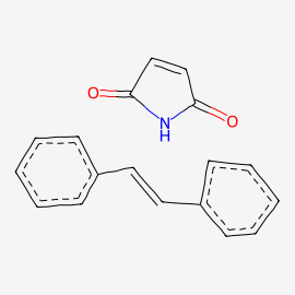 C(=C\c1ccccc1)/c1ccccc1.O=C1C=CC(=O)N1